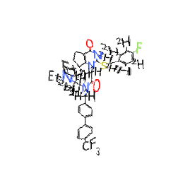 [2H]c1c([2H])c(C([2H])([2H])Sc2nc(=O)c3c(n2C([2H])([2H])C(=O)N(C([2H])([2H])c2ccc(-c4ccc(C(F)(F)F)cc4)cc2)C([2H])([2H])C([2H])([2H])N(CC)CC)CCC3)c([2H])c([2H])c1F